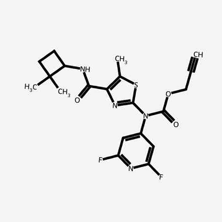 C#CCOC(=O)N(c1cc(F)nc(F)c1)c1nc(C(=O)NC2CCC2(C)C)c(C)s1